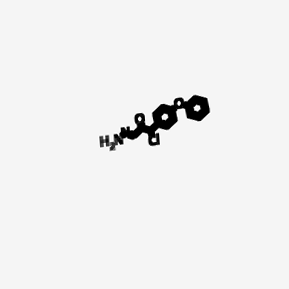 NN=CC(=O)C(Cl)c1ccc(Oc2ccccc2)cc1